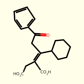 O=C(O)CC(C(=O)O)=C(CC(=O)c1ccccc1)C1CCCCC1